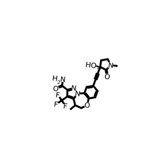 CC1COc2ccc(C#C[C@]3(O)CCN(C)C3=O)cc2-n2nc(C(N)=O)c(C(F)(F)F)c21